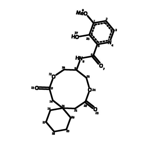 COc1ccnc(C(=O)NC2COC(=O)CC3(CCCCC3)CC(=O)OC2)c1O